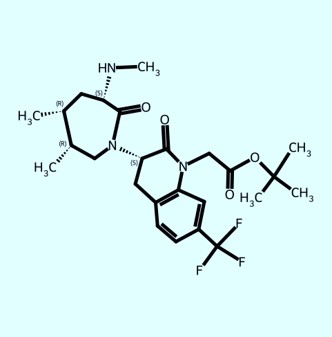 CN[C@H]1C[C@@H](C)[C@@H](C)CN([C@H]2Cc3ccc(C(F)(F)F)cc3N(CC(=O)OC(C)(C)C)C2=O)C1=O